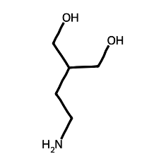 NCCC(CO)CO